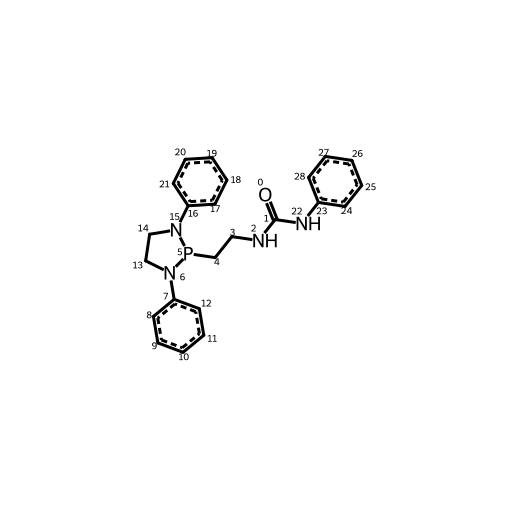 O=C(NCCP1N(c2ccccc2)CCN1c1ccccc1)Nc1ccccc1